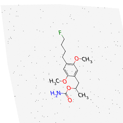 COc1cc(CC(C)OC(N)=O)c(OC)cc1CCCCF